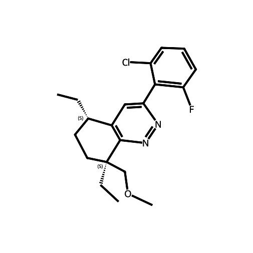 CC[C@H]1CC[C@](CC)(COC)c2nnc(-c3c(F)cccc3Cl)cc21